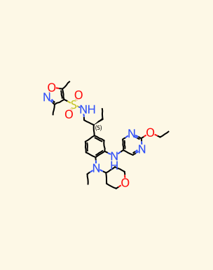 CCOc1ncc(Nc2cc([C@H](CC)CNS(=O)(=O)c3c(C)noc3C)ccc2N(CC)C2CCOCC2)cn1